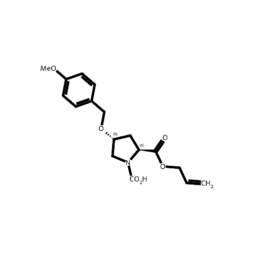 C=CCOC(=O)[C@@H]1C[C@@H](OCc2ccc(OC)cc2)CN1C(=O)O